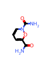 NC(=O)C1=CC=CN(C(N)=O)O1